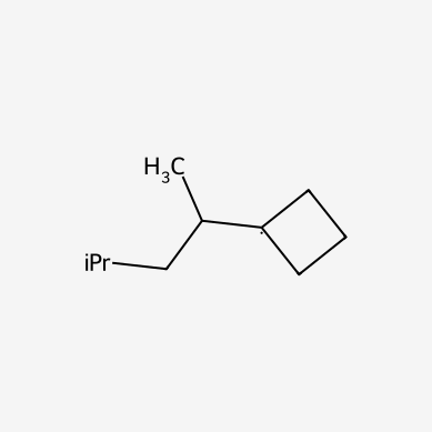 CC(C)CC(C)[C]1CCC1